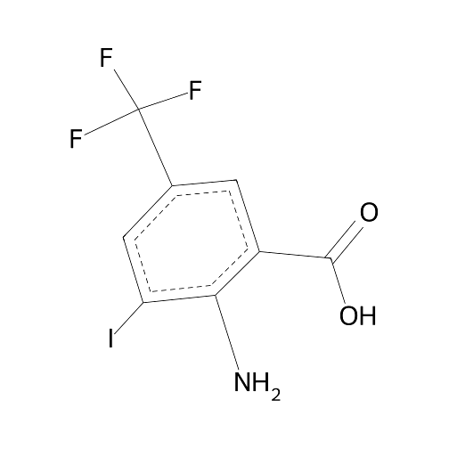 Nc1c(I)cc(C(F)(F)F)cc1C(=O)O